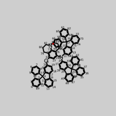 c1ccc(C2(c3ccccc3)c3ccccc3-c3ccc(Oc4cc(N(c5ccc6c(c5)C(c5ccccc5)(c5ccccc5)c5ccccc5-6)c5ccc6c(c5)C(c5ccccc5)(c5ccccc5)c5ccccc5-6)c5c6c4CCCN6CCC5)cc32)cc1